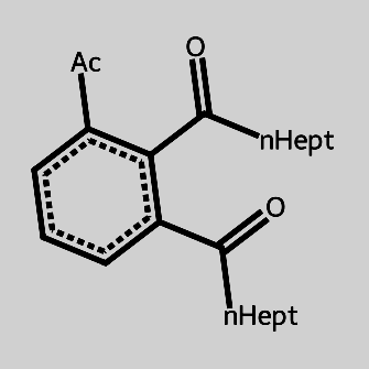 CCCCCCCC(=O)c1cccc(C(C)=O)c1C(=O)CCCCCCC